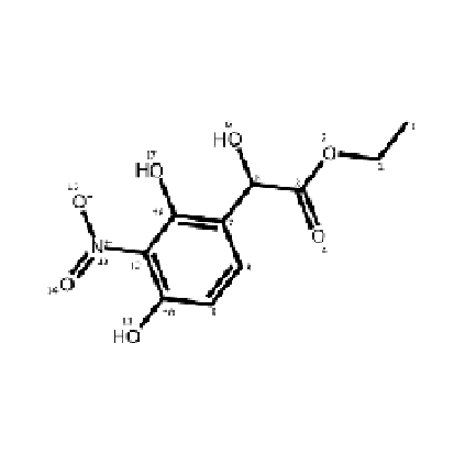 CCOC(=O)C(O)c1ccc(O)c([N+](=O)[O-])c1O